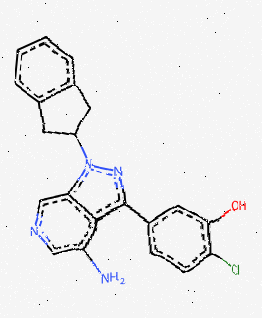 Nc1cncc2c1c(-c1ccc(Cl)c(O)c1)nn2C1Cc2ccccc2C1